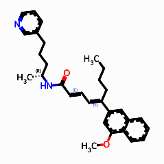 CCCC/C(=C\C=C\C(=O)N[C@H](C)CCCc1cccnc1)c1cc(OC)c2ccccc2c1